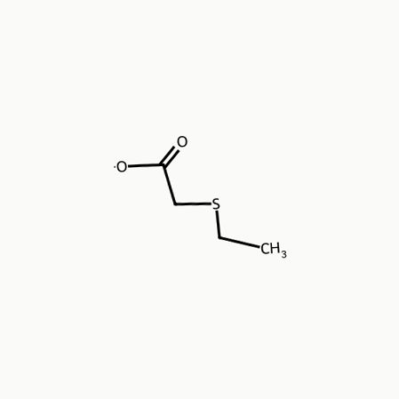 CCSCC([O])=O